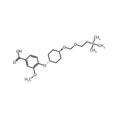 COc1cc(C(=O)O)ccc1O[C@H]1CC[C@H](OCOCC[Si](C)(C)C)CC1